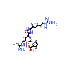 N=C(N)NCCCC[C@H](N)c1noc([C@H](CCCNC(=N)N)NC(=O)N2CCCC2C(=O)O)n1